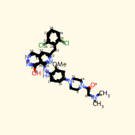 COc1cc(N2CCN(C(=O)CN(C)C)CC2)ccc1Nc1nc(Cc2c(Cl)cccc2Cl)cc2cnnc(O)c12